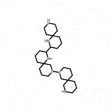 C1CNCC2(C1)CCCN(N1CCCC3(CCCC(C4CCCC5(CCNCC5)N4)N3)C1)C2